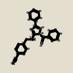 N#Cc1ccc(CNc2nc(-c3ccccc3)nn2C(=O)c2ccccc2)cc1